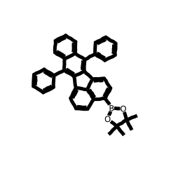 CC1(C)OB(c2ccc3c4c(cccc24)-c2c-3c(-c3ccccc3)c3ccccc3c2-c2ccccc2)OC1(C)C